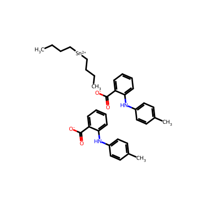 CCC[CH2][Sn+2][CH2]CCC.Cc1ccc(Nc2ccccc2C(=O)[O-])cc1.Cc1ccc(Nc2ccccc2C(=O)[O-])cc1